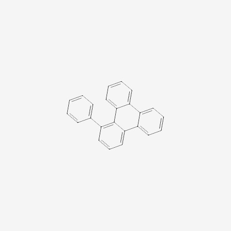 c1ccc(-c2cccc3c4ccccc4c4ccccc4c23)cc1